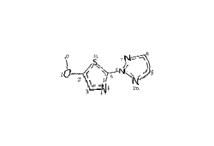 COc1cnc(-n2nccn2)s1